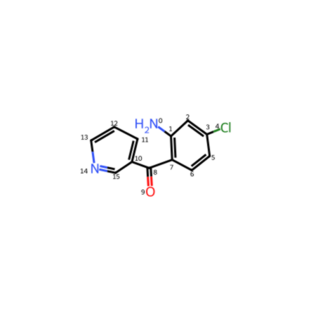 Nc1cc(Cl)ccc1C(=O)c1cccnc1